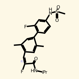 Cc1cc(-c2ccc(NS(C)(=O)=O)cc2F)c(C)cc1/C=C(/F)C(=O)NC(C)C